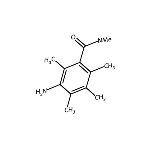 CNC(=O)c1c(C)c(C)c(C)c(N)c1C